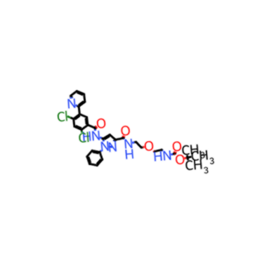 CC(C)(C)OC(=O)NCCOCCNC(=O)c1cc(NC(=O)c2cc(-c3ccccn3)c(Cl)cc2Cl)n(-c2ccccc2)n1